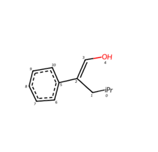 CC(C)CC(=CO)c1ccccc1